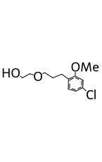 COc1cc(Cl)ccc1CCCOCCO